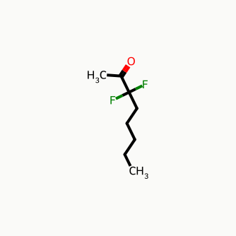 CCCCCC(F)(F)C(C)=O